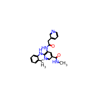 CNC(=O)c1cnc(Nc2ccccc2C)c(NC(=O)Cc2cccnc2)c1